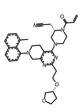 C=CC(=O)N1CCN(c2nc(CCO[C@@H]3CCOC3)nc3c2CCN(c2cccc4cccc(C)c24)C3)C[C@@H]1CC#N